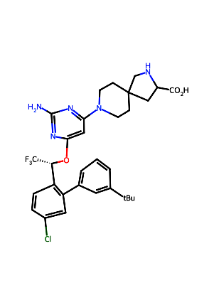 CC(C)(C)c1cccc(-c2cc(Cl)ccc2[C@@H](Oc2cc(N3CCC4(CC3)CNC(C(=O)O)C4)nc(N)n2)C(F)(F)F)c1